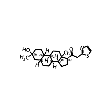 C[C@@]1(O)CC[C@H]2[C@H](CC[C@@H]3[C@@H]2CC[C@]2(C)[C@@H](C(=O)Cc4nccs4)CC[C@@H]32)C1